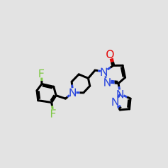 O=c1ccc(-n2cccn2)nn1CC1CCN(Cc2cc(F)ccc2F)CC1